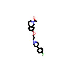 CC(=O)N1CCCc2ccc(OCCCN3CCC(c4ccc(F)cc4)CC3)cc2C1